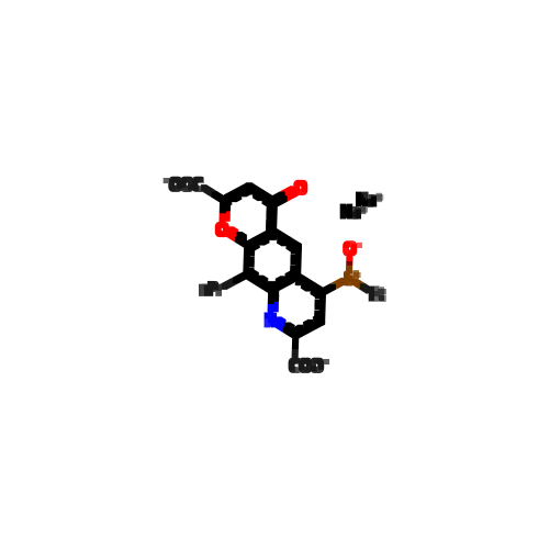 CCCc1c2nc(C(=O)[O-])cc([S+]([O-])CC)c2cc2c(=O)cc(C(=O)[O-])oc12.[Na+].[Na+]